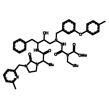 CCC(C)C(C(=O)NC(Cc1ccccc1)C(O)CN(Cc1cccc(Oc2ccc(C)cc2)c1)NC(=O)N(CC(C)(C)C)C(=O)OC)N1CCN(Cc2cccc(C)n2)C1=O